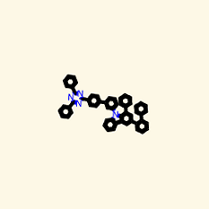 c1ccc(-c2nc(-c3ccccc3)nc(-c3ccc(-c4cccc(-n5c6ccccc6c6cc(-c7ccccc7-c7ccccc7)cc(-c7ccccc7)c65)c4)cc3)n2)cc1